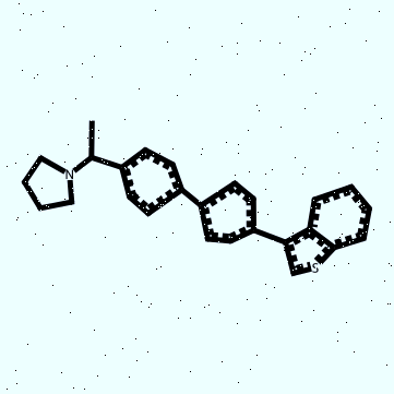 CC(c1ccc(-c2ccc(-c3csc4ccccc34)cc2)cc1)N1CCCC1